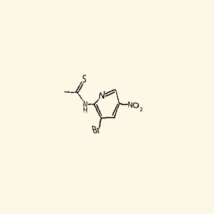 CC(=S)Nc1ncc([N+](=O)[O-])cc1Br